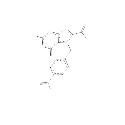 CC(=O)c1nc2nc(N)[nH]c(=O)c2n1Cc1ccc([N+](=O)[O-])cc1